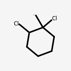 [CH2]C1(Cl)CCCCC1Cl